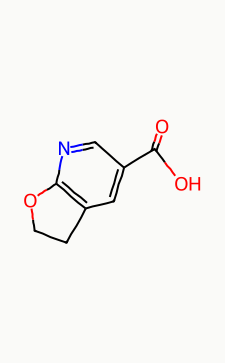 O=C(O)c1cnc2c(c1)CCO2